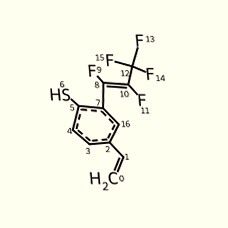 C=Cc1ccc(S)c(C(F)=C(F)C(F)(F)F)c1